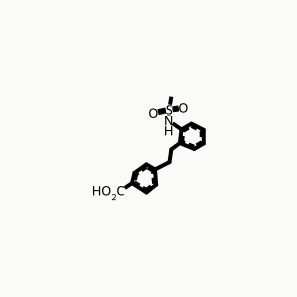 CS(=O)(=O)Nc1ccccc1CCc1ccc(C(=O)O)cc1